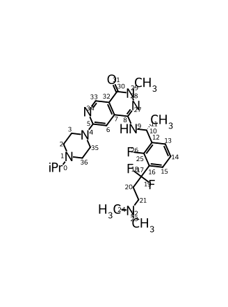 CC(C)N1CCN(c2cc3c(N[C@H](C)c4cccc(C(F)(F)CCN(C)C)c4F)nn(C)c(=O)c3cn2)CC1